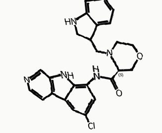 O=C(Nc1cc(Cl)cc2c1[nH]c1cnccc12)[C@@H]1COCCN1CC1CNc2ccccc21